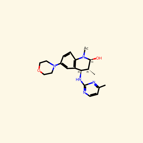 CC(=O)N1c2ccc(N3CCOCC3)cc2[C@H](Nc2nccc(C)n2)[C@@H](C)[C@@H]1O